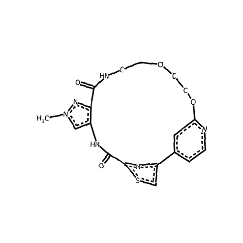 Cn1cc2c(n1)C(=O)NCCOCCOc1cc(ccn1)-c1csc(n1)C(=O)N2